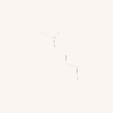 [CH2]CCCC(Cl)CCCCCl